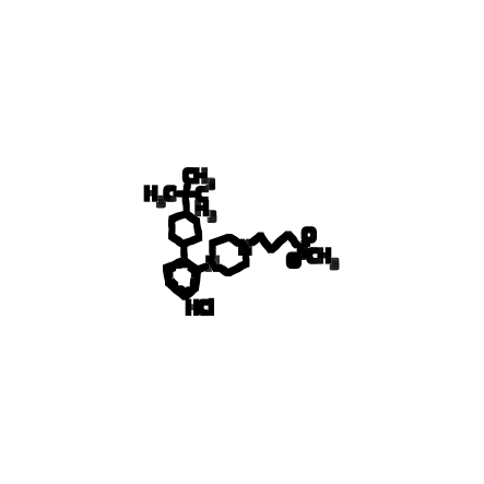 CC(C)(C)C1CCC(c2ccccc2N2CCN(CCCS(C)(=O)=O)CC2)CC1.Cl